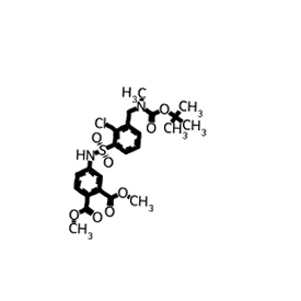 COC(=O)c1ccc(NS(=O)(=O)c2cccc(CN(C)C(=O)OC(C)(C)C)c2Cl)cc1C(=O)OC